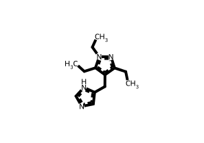 CCc1nn(CC)c(CC)c1Cc1cnc[nH]1